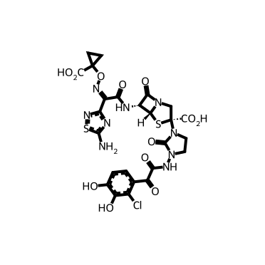 Nc1nc(/C(=N/OC2(C(=O)O)CC2)C(=O)N[C@@H]2C(=O)N3C[C@@](C(=O)O)(N4CCN(NC(=O)C(=O)c5ccc(O)c(O)c5Cl)C4=O)S[C@H]23)ns1